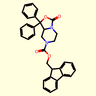 O=C(OCC1c2ccccc2-c2ccccc21)N1CCN2C(=O)OC(c3ccccc3)(c3ccccc3)C2C1